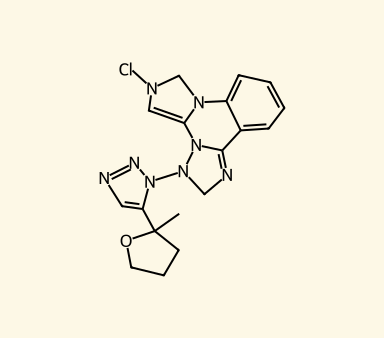 CC1(c2cnnn2N2CN=C3c4ccccc4N4CN(Cl)C=C4N32)CCCO1